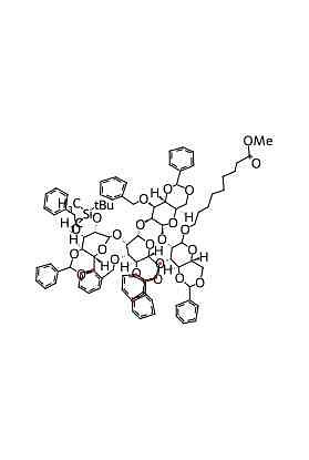 COC(=O)CCCCCCCCOC1O[C@@H]2COC(c3ccccc3)O[C@H]2[C@H](OCc2ccccc2)[C@@H]1O[C@@H]1O[C@@H]2COC(c3ccccc3)O[C@H]2[C@H](OCc2ccccc2)[C@@H]1O[C@@H]1O[C@@H]2COC(c3ccccc3)O[C@H]2[C@H](OCc2ccccc2)[C@@H]1O[C@@H]1O[C@@H]2COC(c3ccccc3)O[C@H]2[C@H](OCc2ccccc2)[C@@H]1O[Si](C)(C)C(C)(C)C